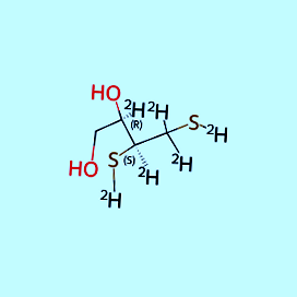 [2H]SC([2H])([2H])[C@@]([2H])(S[2H])[C@]([2H])(O)CO